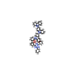 c1ccc(-c2nc(-c3ccccc3)nc(-c3cccc4c3oc3c(-n5c6ccccc6c6cc(-n7c8ccccc8c8cc(-n9c%10ccccc%10c%10ccccc%109)ccc87)ccc65)cccc34)n2)cc1